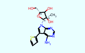 C[C@@]1(O)C(O)[C@@H](CO)O[C@H]1n1cc(-c2cccs2)c2c(N)ncnc21